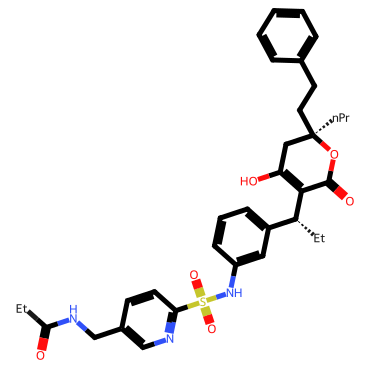 CCC[C@@]1(CCc2ccccc2)CC(O)=C([C@H](CC)c2cccc(NS(=O)(=O)c3ccc(CNC(=O)CC)cn3)c2)C(=O)O1